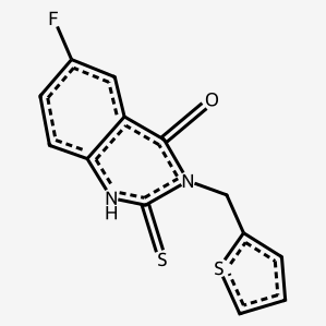 O=c1c2cc(F)ccc2[nH]c(=S)n1Cc1cccs1